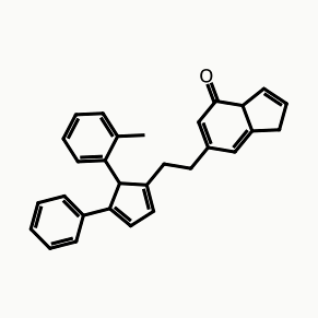 Cc1ccccc1C1C(CCC2=CC(=O)C3C=CCC3=C2)=CC=C1c1ccccc1